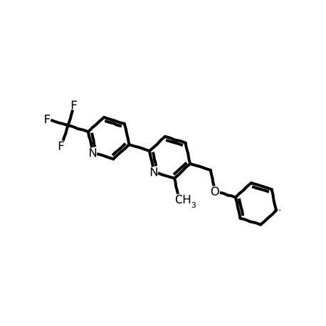 Cc1nc(-c2ccc(C(F)(F)F)nc2)ccc1COC1=CC[CH]C=C1